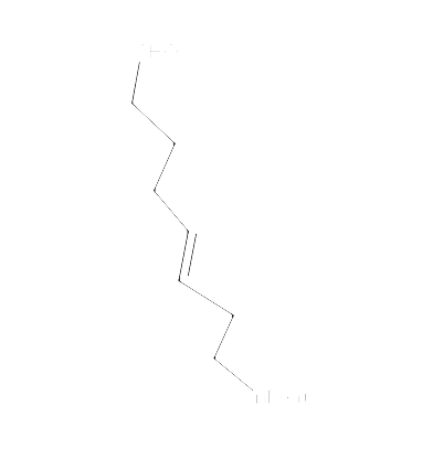 CCCCCCCC=CCCCC=O